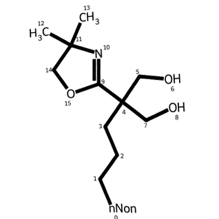 CCCCCCCCCCCCC(CO)(CO)C1=NC(C)(C)CO1